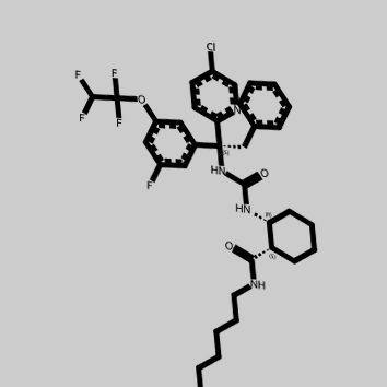 O=C(O)CCCCCNC(=O)[C@H]1CCCC[C@H]1NC(=O)N[C@@](Cc1ccccc1)(c1cc(F)cc(OC(F)(F)C(F)F)c1)c1ccc(Cl)cn1